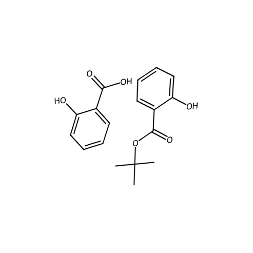 CC(C)(C)OC(=O)c1ccccc1O.O=C(O)c1ccccc1O